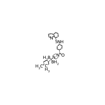 BC(B)(C(/C=C\C=C)=C/C)N1CCN(C(=O)c2ccc(NSc3cccc4cccnc34)cc2)CC1